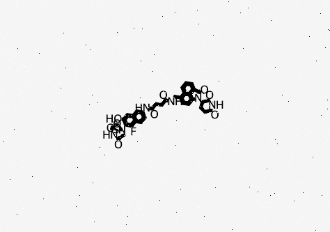 O=C(CCC(=O)Nc1ccc2c(F)c(N3CC(=O)NS3(=O)=O)c(O)cc2c1)NCc1ccc2c3c(cccc13)C(=O)N2C1CCC(=O)NC1=O